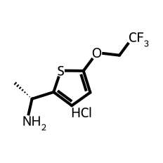 C[C@@H](N)c1ccc(OCC(F)(F)F)s1.Cl